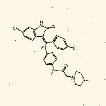 CN1CCN(CC(=O)N(C)c2ccc(NC(=C3C(=O)Nc4cc(Cl)ccc43)c3ccc(Cl)cc3)cc2)CC1